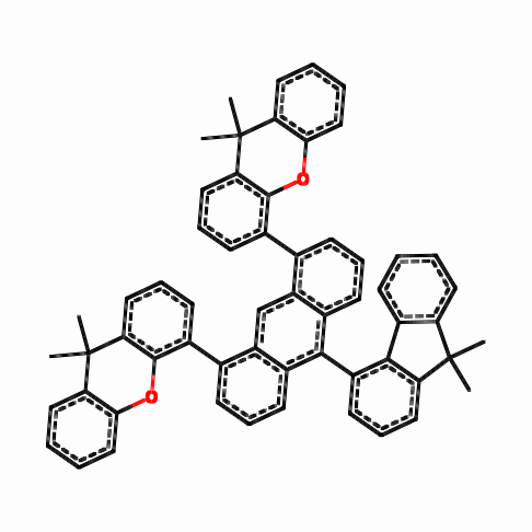 CC1(C)c2ccccc2Oc2c(-c3cccc4c(-c5cccc6c5-c5ccccc5C6(C)C)c5cccc(-c6cccc7c6Oc6ccccc6C7(C)C)c5cc34)cccc21